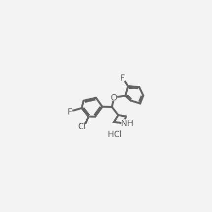 Cl.Fc1ccc(C(Oc2ccccc2F)C2CNC2)cc1Cl